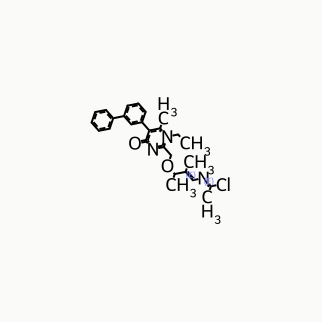 CCn1c(COC(C)/C(C)=C/N=C(\C)Cl)nc(=O)c(-c2cccc(-c3ccccc3)c2)c1C